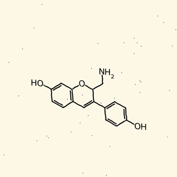 NCC1Oc2cc(O)ccc2C=C1c1ccc(O)cc1